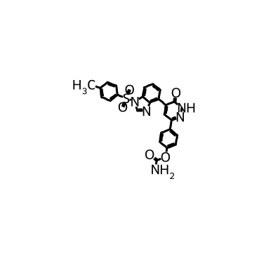 Cc1ccc(S(=O)(=O)n2cnc3c(-c4cc(-c5ccc(OC(N)=O)cc5)n[nH]c4=O)cccc32)cc1